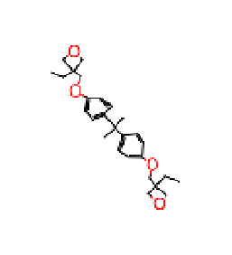 CCC1(COc2ccc(C(C)(C)c3ccc(OCC4(CC)COC4)cc3)cc2)COC1